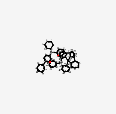 C1=CCC(N(c2ccc(-c3ccccc3)cc2)c2ccc(-c3cccc4c3C3(c5ccccc5-4)c4ccccc4N(c4ccccc4)c4ccccc43)cc2)C=C1